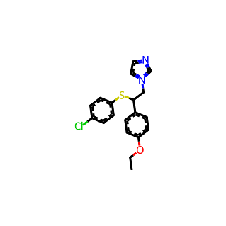 CCOc1ccc(C(Cn2ccnc2)Sc2ccc(Cl)cc2)cc1